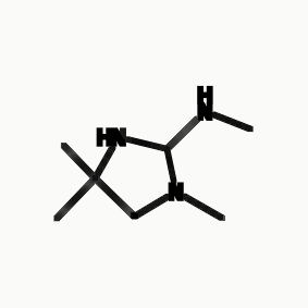 CNC1NC(C)(C)CN1C